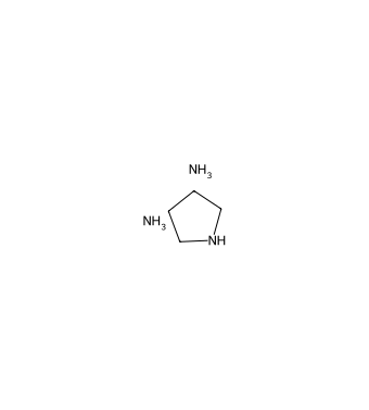 C1CCNC1.N.N